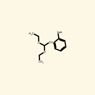 CCOC(C)OCC.[SeH]c1ccccc1